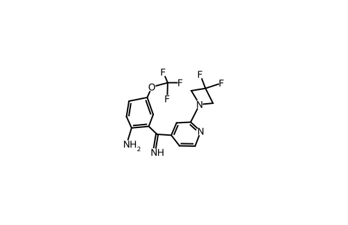 N=C(c1ccnc(N2CC(F)(F)C2)c1)c1cc(OC(F)(F)F)ccc1N